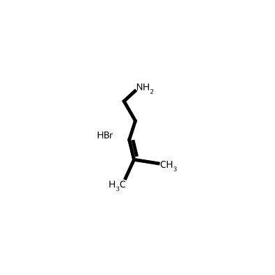 Br.CC(C)=CCCN